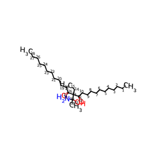 CCCCCCCCCCCC(=O)C(CC)(C(=O)CCCCCCCCCCC)C(C)(N)O